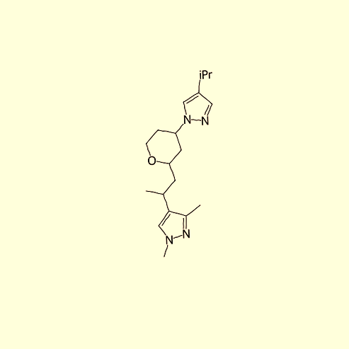 Cc1nn(C)cc1C(C)CC1CC(n2cc(C(C)C)cn2)CCO1